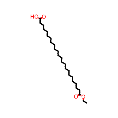 CCOC(=O)CCCCCCCCCCCCCCCCCCCCCCC(=O)O